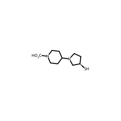 O=C(O)N1CCC(N2CC[C@@H](S)C2)CC1